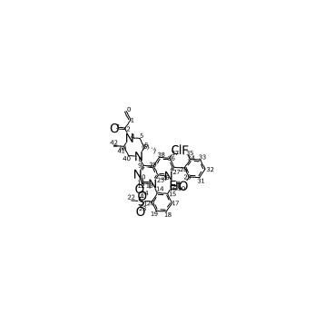 C=CC(=O)N1C[C@H](C)N(c2nc(=O)n(-c3c(CC)cccc3S(C)(=O)=O)c3nc(-c4c(O)cccc4F)c(Cl)cc23)C[C@H]1C